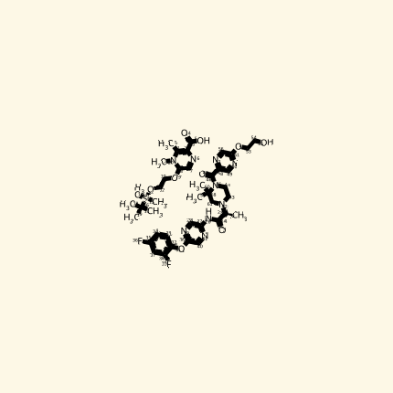 CC1=C(C(=O)O)N=CC(OCCO[Si](C)(C)C(C)(C)C)N1C.C[C@@H](C(=O)Nc1cnc(Oc2ccc(F)cc2F)cn1)N1CCN(C(=O)c2cnc(OCCO)cn2)C(C)(C)C1